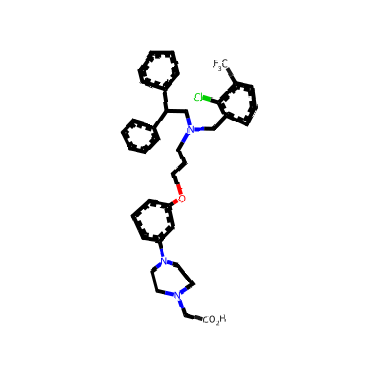 O=C(O)CN1CCN(c2cccc(OCCCN(Cc3cccc(C(F)(F)F)c3Cl)CC(c3ccccc3)c3ccccc3)c2)CC1